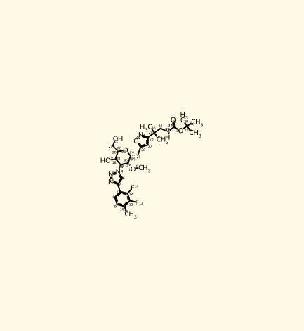 CO[C@@H]1[C@@H](n2cc(-c3ccc(C)c(F)c3F)nn2)[C@@H](O)[C@@H](CO)O[C@@H]1Cc1cc(C(C)(C)CNC(=O)OC(C)(C)C)no1